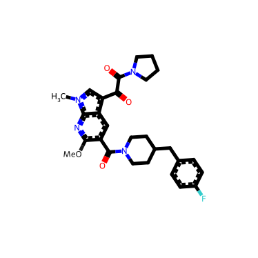 COc1nc2c(cc1C(=O)N1CCC(Cc3ccc(F)cc3)CC1)c(C(=O)C(=O)N1CCCC1)cn2C